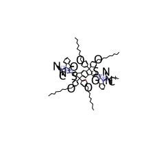 [C-]#[N+]/C(C#N)=C1\C(=C\c2cc3c(s2)C(c2ccc(OCCCCCCCC)cc2)(c2ccc(OCCCCCCCC)cc2)c2cc4c(cc2-3)C(c2ccc(OCCCCCCCC)cc2)(c2ccc(OCCCCCCCC)cc2)c2sc(/C=C3\C(=O)c5ccccc5\C3=C(\C#N)[N+]#[C-])cc2-4)C(=O)c2ccccc21